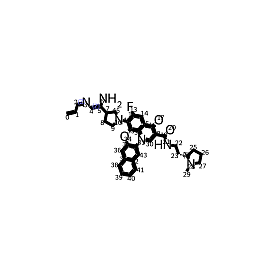 C=C/C=N\C=C(/N)C1CCN(c2c(F)cc3c(=O)c(C(=O)NCC[C@@H]4CCCN4C)cn4c3c2Oc2cc3ccccc3cc2-4)C1